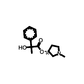 CN1CC[C@@H](OC(=O)C(C)(O)c2ccccc2)C1